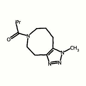 CC(C)C(=O)N1CCCc2c(nnn2C)CC1